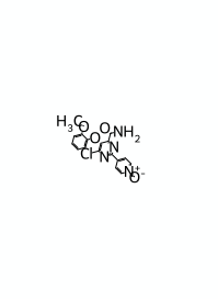 COc1ccccc1Oc1c(Cl)nc(-c2cc[n+]([O-])cc2)nc1C(N)=O